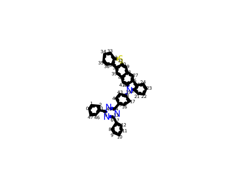 c1ccc(-c2nc(-c3ccccc3)nc(-c3ccc(-n4c5ccccc5c5cc6cc7sc8ccccc8c7cc6cc54)cc3)n2)cc1